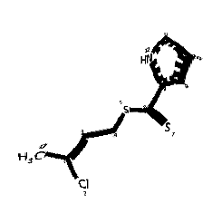 C/C(Cl)=C/CSC(=S)c1ccc[nH]1